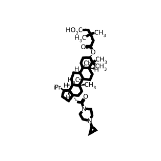 CC(C)[C@@H]1CC[C@]2(CC(=O)N3CCN(C4CC4)CC3)CC[C@]3(C)[C@H](CC[C@@H]4[C@@]5(C)CC[C@H](OC(=O)CC(C)(C)CC(=O)O)C(C)(C)[C@@H]5CC[C@]43C)[C@@H]12